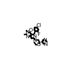 Cc1nc2cc(N3CCO[C@H](c4cncnc4)C3)nc(-c3ccc(Cl)cc3F)c2c(=O)n1C